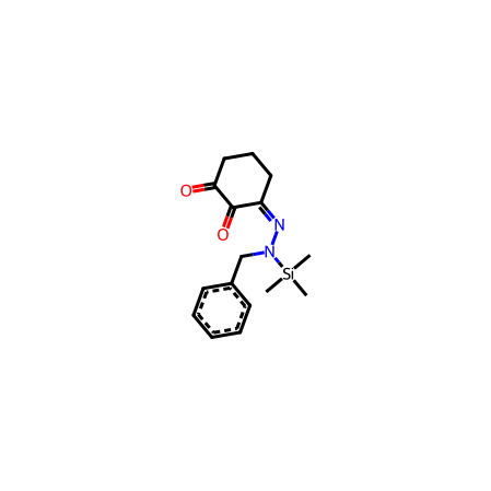 C[Si](C)(C)N(Cc1ccccc1)/N=C1/CCCC(=O)C1=O